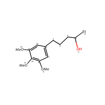 CCC(O)CCCc1cc(OC)c(OC)c(OC)c1